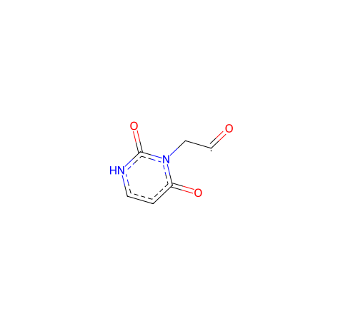 O=[C]Cn1c(=O)cc[nH]c1=O